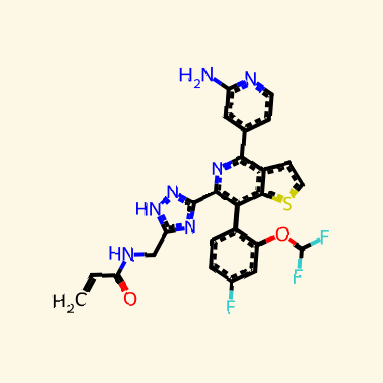 C=CC(=O)NCc1nc(-c2nc(-c3ccnc(N)c3)c3ccsc3c2-c2ccc(F)cc2OC(F)F)n[nH]1